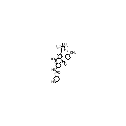 CC(C)(C)C#Cc1cc(N(C(=O)[C@H]2CC[C@H](C)CC2)C2CCC(NC(=O)O[C@@H]3CCCNC3)CC2)c(C(=O)O)s1